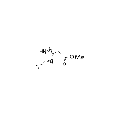 COC(=O)Cc1n[nH]c(C(F)(F)F)n1